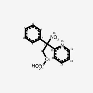 O=C(O)OCC(c1ccccc1)(c1ccccn1)[N+](=O)[O-]